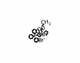 C=CCOC(=O)[C@H](C1CCCN1)N1CCC([P+](c2ccccc2)(c2ccccc2)c2ccccc2)C1=O.[Br-]